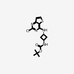 CC(C)(C)OC(=O)N[C@H]1C[C@H](Nc2nc(Cl)nc3ccsc23)C1